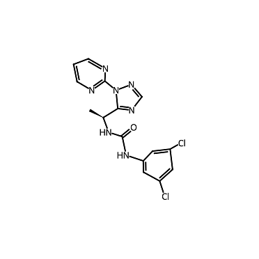 C[C@H](NC(=O)Nc1cc(Cl)cc(Cl)c1)c1ncnn1-c1ncccn1